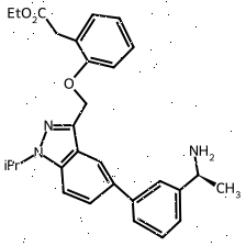 CCOC(=O)Cc1ccccc1OCc1nn(C(C)C)c2ccc(-c3cccc([C@H](C)N)c3)cc12